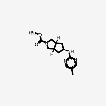 Cc1cnc(N[C@H]2C[C@@H]3CN(C(=O)OC(C)(C)C)C[C@@H]3C2)nc1